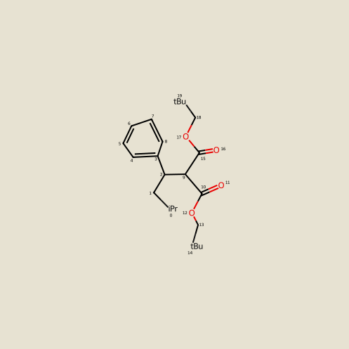 CC(C)CC(c1ccccc1)C(C(=O)OCC(C)(C)C)C(=O)OCC(C)(C)C